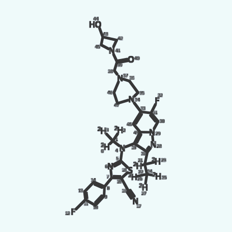 [2H]C([2H])([2H])N(c1nc(-c2ccc(F)cc2)c(C#N)s1)c1c(C([2H])([2H])C([2H])([2H])[2H])nn2cc(F)c(N3CCN(CC(=O)N4CC(O)C4)CC3)cc12